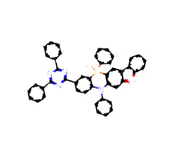 O=P1(c2ccccc2)c2cc(-c3nc(-c4ccccc4)nc(-c4ccccc4)n3)ccc2N(c2ccccc2)c2cc3oc4ccccc4c3cc21